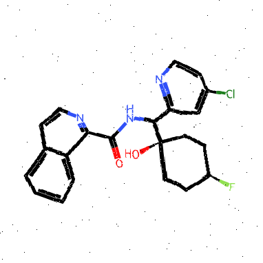 O=C(NC(c1cc(Cl)ccn1)[C@]1(O)CC[C@@H](F)CC1)c1nccc2ccccc12